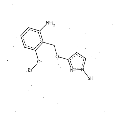 CCOc1cccc(N)c1COc1ccn(S)n1